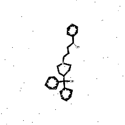 O[C@H](CCCN1CCC(C(O)(c2ccccc2)c2ccccc2)CC1)c1ccccc1